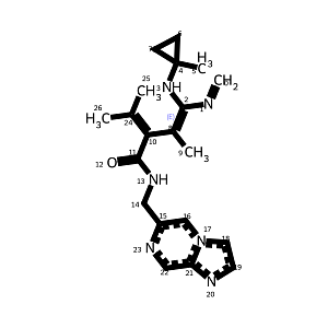 C=N/C(NC1(C)CC1)=C(\C)C(C(=O)NCc1cn2ccnc2cn1)=C(C)C